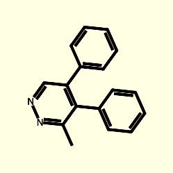 Cc1nncc(-c2ccccc2)c1-c1ccccc1